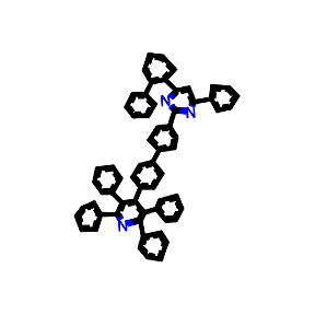 c1ccc(-c2cc(-c3ccccc3-c3ccccc3)nc(-c3ccc(-c4ccc(-c5c(-c6ccccc6)c(-c6ccccc6)nc(-c6ccccc6)c5-c5ccccc5)cc4)cc3)n2)cc1